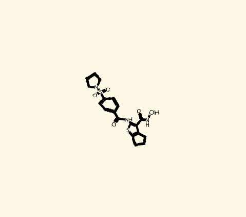 O=C(Nc1sc2c(c1C(=O)NO)CCC2)c1ccc(S(=O)(=O)N2CCCC2)cc1